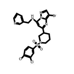 O=S(=O)(c1ccc(Cl)c(Cl)c1)N1CCCC(c2cc(NCc3cccnc3)n3ncc(Br)c3n2)C1